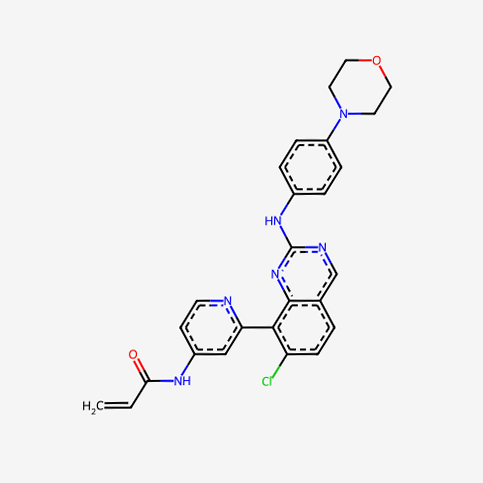 C=CC(=O)Nc1ccnc(-c2c(Cl)ccc3cnc(Nc4ccc(N5CCOCC5)cc4)nc23)c1